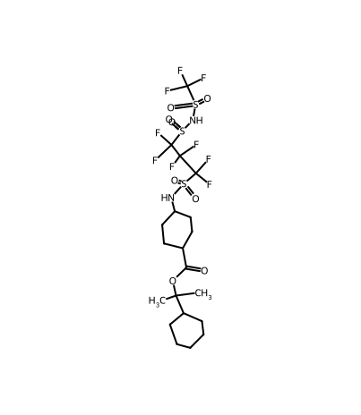 CC(C)(OC(=O)C1CCC(NS(=O)(=O)C(F)(F)C(F)(F)C(F)(F)S(=O)(=O)NS(=O)(=O)C(F)(F)F)CC1)C1CCCCC1